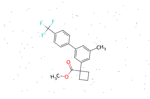 COC(=O)C1(c2cc(C)cc(-c3ccc(C(F)(F)F)cc3)c2)CCC1